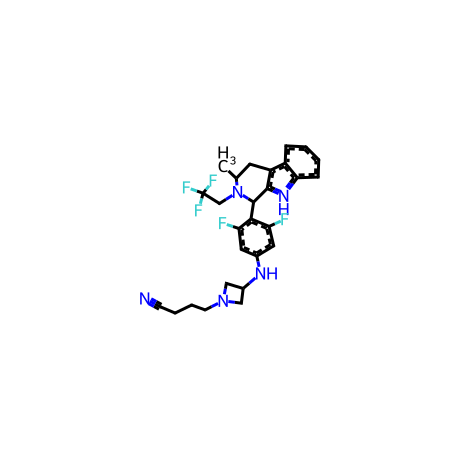 CC1Cc2c([nH]c3ccccc23)C(c2c(F)cc(NC3CN(CCCC#N)C3)cc2F)N1CC(F)(F)F